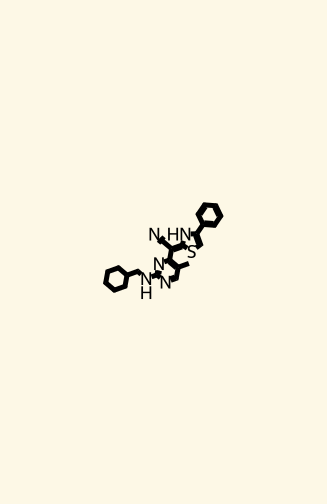 Cc1cnc(NCC2CCCCC2)nc1C(C#N)=C1NC(c2ccccc2)=CS1